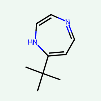 CC(C)(C)C1=CC=NC=CN1